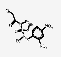 CCC(C)SP(=O)(N(CC)Sc1ccc([N+](=O)[O-])cc1[N+](=O)[O-])N(CC)C(=O)CCl